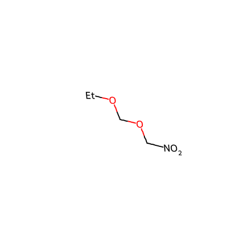 CCOCOC[N+](=O)[O-]